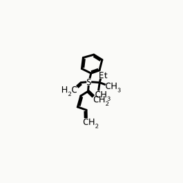 C=C/C=C\C(=C)S(C=C)(c1ccccc1)C(C)(C)CC